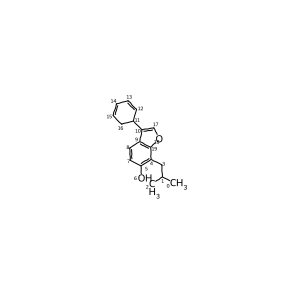 CC(C)Cc1c(O)ccc2c(C3C=CC=CC3)coc12